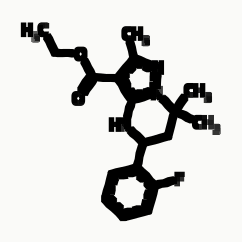 CCOC(=O)c1c(C)nn2c1NC(c1ccccc1F)CC2(C)C